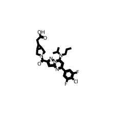 CCCN(c1cc(-c2cc(F)c(Cl)c(F)c2)nc2cc(C(=O)N3CC4C(CC(=O)O)C4C3)nn12)C(C)C